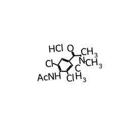 CC(=O)Nc1c(Cl)cc(C(=O)C(C)N(C)C)cc1Cl.Cl